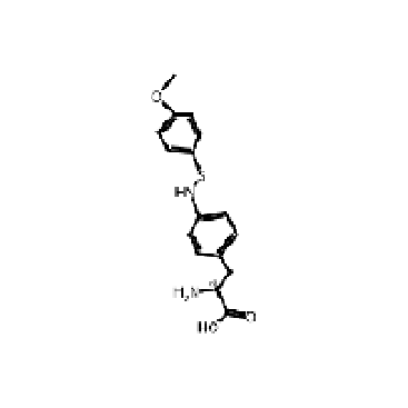 COc1ccc(SNc2ccc(C[C@H](N)C(=O)O)cc2)cc1